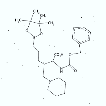 CC1(C)OB(CCCC(CN2CCCCC2)C(NC(=O)OCc2ccccc2)C(=O)O)OC1(C)C